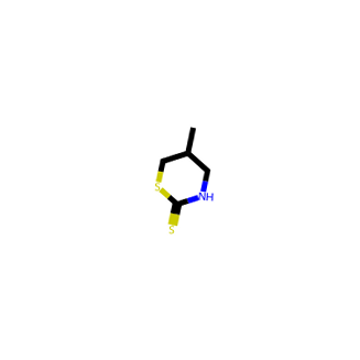 CC1CNC(=S)SC1